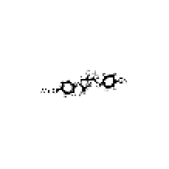 COc1ccc(N2C[C@](C)(COc3ccc(C#N)cc3)OC2=O)cc1